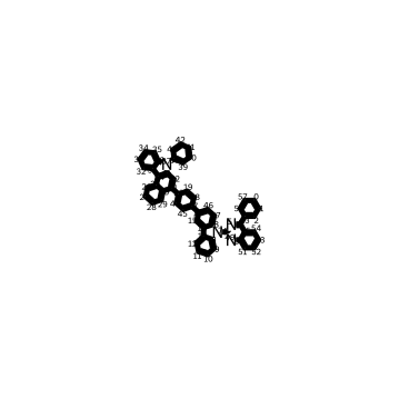 c1ccc(-c2nc(-n3c4ccccc4c4cc(-c5ccc(-c6cc7c(c8ccccc68)c6ccccc6n7-c6ccccc6)cc5)ccc43)nc3ccccc23)cc1